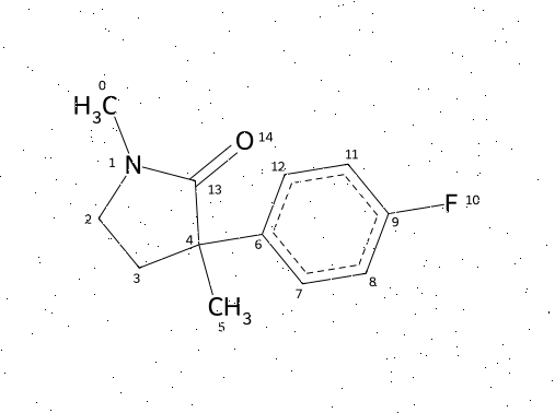 CN1CCC(C)(c2ccc(F)cc2)C1=O